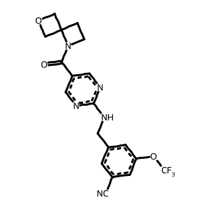 N#Cc1cc(CNc2ncc(C(=O)N3CCC34COC4)cn2)cc(OC(F)(F)F)c1